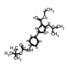 CCOC(=O)c1nc(-c2ccc(NC(=O)OC(C)(C)C)cc2)sc1CC(C)C